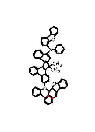 CC1(C)c2cc(N(c3ccccc3)c3cccc4c3oc3ccccc34)c3ccccc3c2-c2c1c1ccc(N(c3ccccc3-c3ccccc3)c3cccc4c3oc3ccccc34)cc1c1ccccc21